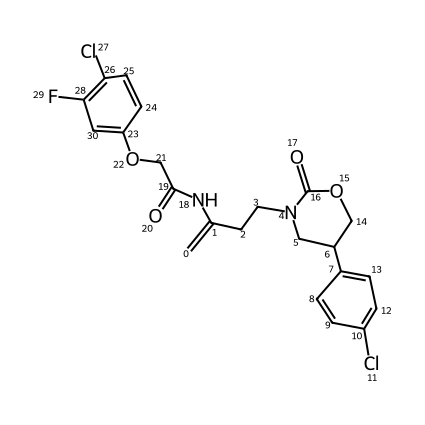 C=C(CCN1CC(c2ccc(Cl)cc2)COC1=O)NC(=O)COc1ccc(Cl)c(F)c1